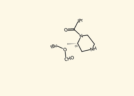 CC(C)(C)OC=O.CC(C)C(=O)N1CCNC[C@@H]1C